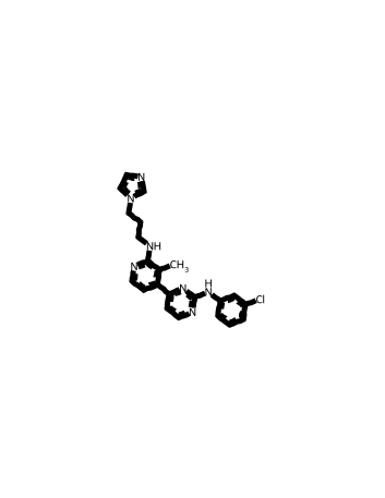 Cc1c(-c2ccnc(Nc3cccc(Cl)c3)n2)ccnc1NCCCn1ccnc1